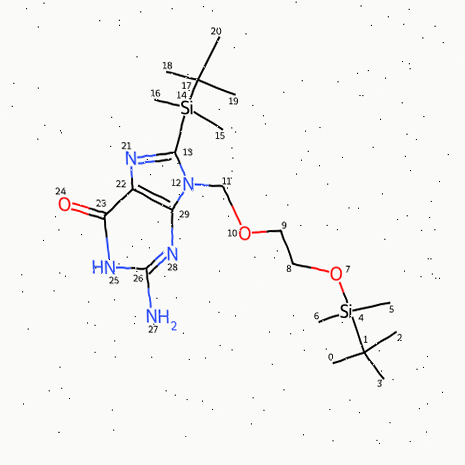 CC(C)(C)[Si](C)(C)OCCOCn1c([Si](C)(C)C(C)(C)C)nc2c(=O)[nH]c(N)nc21